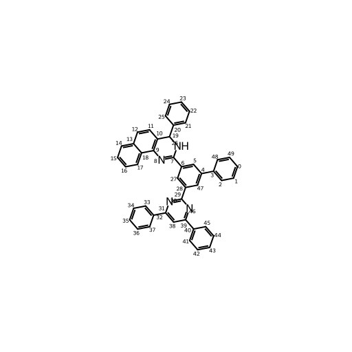 c1ccc(-c2cc(C3=Nc4c(ccc5ccccc45)C(c4ccccc4)N3)cc(-c3nc(-c4ccccc4)cc(-c4ccccc4)n3)c2)cc1